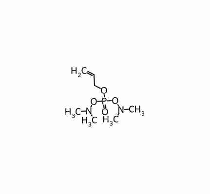 C=CCOP(=O)(ON(C)C)ON(C)C